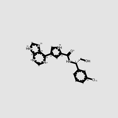 O=C(N[C@H](CO)c1cccc(Cl)c1)c1cc(-c2ncnc3[nH]cnc23)c[nH]1